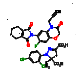 C#CCN1C(=O)COc2cc(F)c(N3C(=O)C4=C(CCCC4)C3=O)cc21.CC1(C(=O)O)CC(C(=O)O)=NN1c1ccc(Cl)cc1Cl